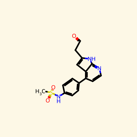 CS(=O)(=O)Nc1ccc(-c2ccnc3[nH]c(CC=O)cc23)cc1